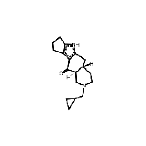 O=C1c2c([nH]c3c2CCC3)C[C@@H]2CCN(CC3CC3)C[C@@H]12